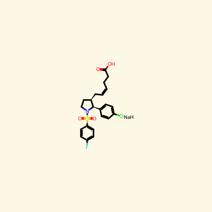 O=C(O)CC/C=C\C[C@@H]1CCN(S(=O)(=O)c2ccc(F)cc2)[C@@H]1c1ccc(Cl)cc1.[NaH]